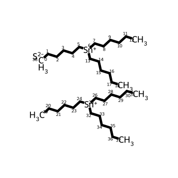 CCCCC[CH2][Sn+]([CH2]CCCCC)[CH2]CCCCC.CCCCC[CH2][Sn+]([CH2]CCCCC)[CH2]CCCCC.[S-2]